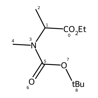 CCOC(=O)C(C)N(C)C(=O)OC(C)(C)C